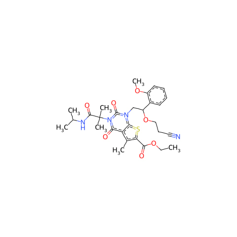 CCOC(=O)c1sc2c(c1C)c(=O)n(C(C)(C)C(=O)NC(C)C)c(=O)n2CC(OCCC#N)c1ccccc1OC